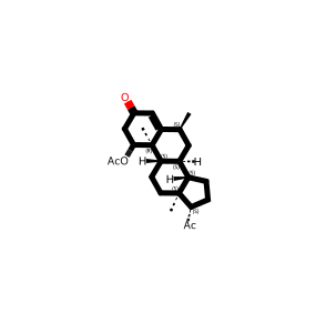 CC(=O)OC1CC(=O)C=C2[C@@H](C)C[C@H]3[C@@H]4CC[C@H](C(C)=O)[C@@]4(C)CC[C@@H]3[C@]21C